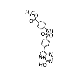 COC(=O)c1ccc(NS(=O)(=O)c2ccc(-c3cnn4c(O)ncnc34)cc2)cc1